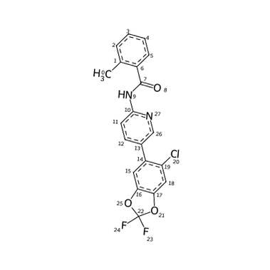 Cc1ccccc1C(=O)Nc1ccc(-c2cc3c(cc2Cl)OC(F)(F)O3)cn1